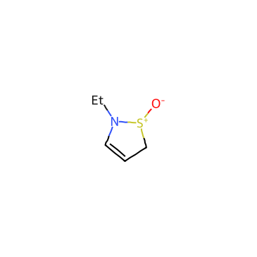 CCN1C=CC[S+]1[O-]